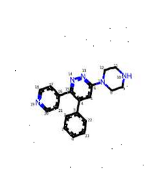 c1ccc(-c2cc(N3CCNCC3)nnc2-c2ccncc2)cc1